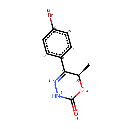 C[C@H]1OC(=O)NN=C1c1ccc(Br)cc1